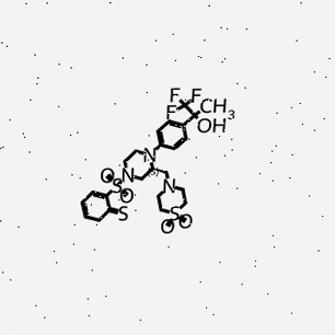 CC(O)(c1ccc(N2CCN(S(=O)(=O)C3=CC=CCC3=S)C[C@@H]2CN2CCS(=O)(=O)CC2)cc1)C(F)(F)F